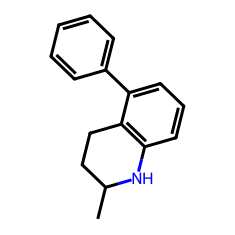 CC1CCc2c(cccc2-c2ccccc2)N1